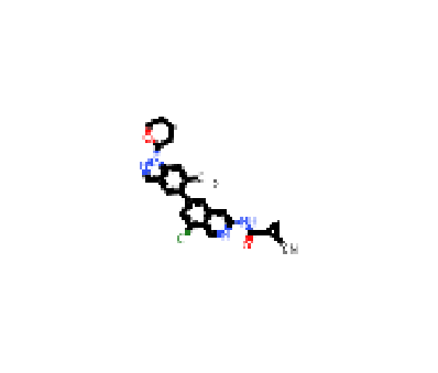 Cc1cc2c(cnn2C2CCCCO2)cc1-c1cc(Cl)c2cnc(NC(=O)C3CC3C#N)cc2c1